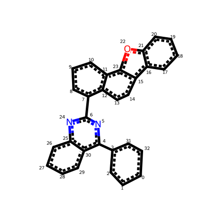 c1ccc(-c2nc(-c3cccc4c3ccc3c5ccccc5oc43)nc3ccccc23)cc1